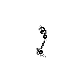 O=C1C=CC2=CN=C(c3ccc(OCCCCCC[AsH]c4ccc([N+](=O)[O-])c5nonc45)cc3)N3CCC(=C23)N1